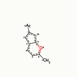 CC(=O)c1cc2ccc(C)oc-2c1